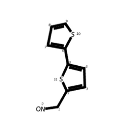 O=NCc1ccc(-c2cccs2)s1